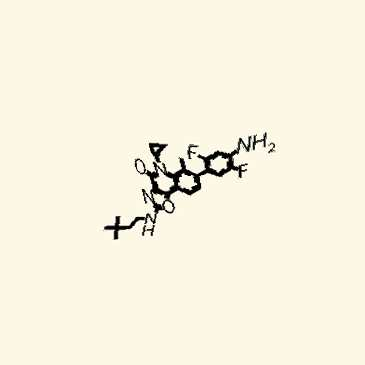 Cc1c(-c2cc(F)c(N)cc2F)ccc2c3oc(NCCC(C)(C)C)nc3c(=O)n(C3CC3)c12